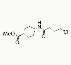 COC(=O)[C@H]1CC[C@H](NC(=O)CCCCl)CC1